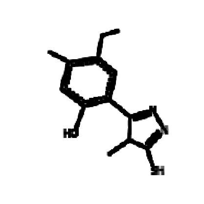 CCc1cc(C2=NN=C(S)C2C)c(O)cc1C